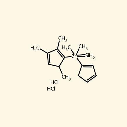 CC1=CC(C)[C]([Zr]([CH3])([CH3])(=[SiH2])[C]2=CC=CC2)=C1C.Cl.Cl